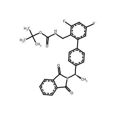 C[C@H](c1ccc(-c2cc(F)cc(F)c2CNC(=O)OC(C)(C)C)cc1)N1C(=O)c2ccccc2C1=O